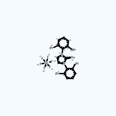 CC(C)c1cccc(C(C)C)c1-n1ccn(-c2c(C(C)C)cccc2C(C)C)[c]1=[Au].[F][Sb-]([F])([F])([F])([F])[F]